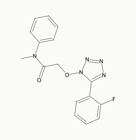 CN(C(=O)COn1nnnc1-c1ccccc1F)c1ccccc1